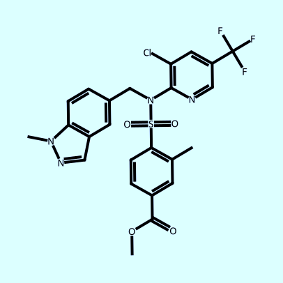 COC(=O)c1ccc(S(=O)(=O)N(Cc2ccc3c(cnn3C)c2)c2ncc(C(F)(F)F)cc2Cl)c(C)c1